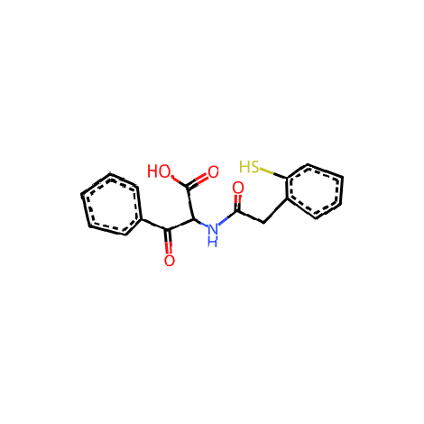 O=C(Cc1ccccc1S)NC(C(=O)O)C(=O)c1ccccc1